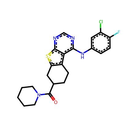 O=C(C1CCc2c(sc3ncnc(Nc4ccc(F)c(Cl)c4)c23)C1)N1CCCCC1